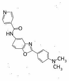 CN(C)c1ccc(-c2nc3cc(NC(=O)c4ccncc4)ccc3o2)cc1